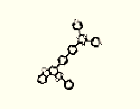 c1ccc(-c2nc3c(-c4ccc(-c5ccc(-c6nc(-c7ccncc7)nc(-c7ccncc7)n6)cc5)cc4)cc4oc5ccccc5c4c3o2)cc1